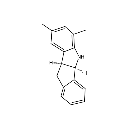 Cc1cc(C)c2c(c1)[C@@H]1Cc3ccccc3[C@@H]1N2